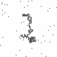 COc1ccc(OCC#Cc2ccc(CCC(C)(N)COP(=O)(O)O)s2)cc1